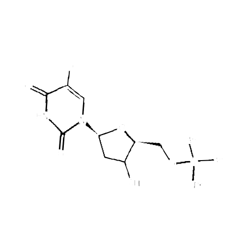 CC(C)[Si](OC[C@@H]1O[C@H](n2cc(C(F)(F)F)c(=O)[nH]c2=O)CC1O)(C(C)C)C(C)C